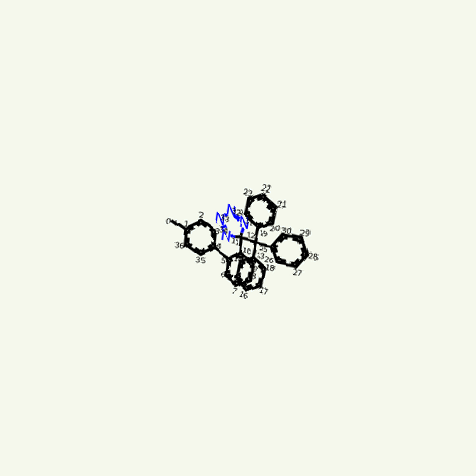 [CH2]c1ccc(-c2ccccc2C2(C(c3ccccc3)(c3ccccc3)c3ccccc3)N=NN=N2)cc1